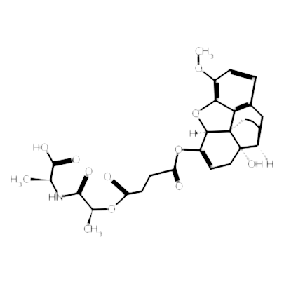 COc1ccc2c3c1O[C@@H]1C(OC(=O)CCC(=O)O[C@@H](C)C(=O)N[C@@H](C)C(=O)O)=CC[C@]4(O)[C@@H](CCC[C@@]314)C2